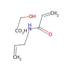 C=CCNC(=O)C=C.O=C(O)CO